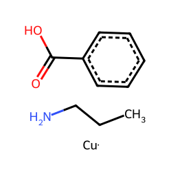 CCCN.O=C(O)c1ccccc1.[Cu]